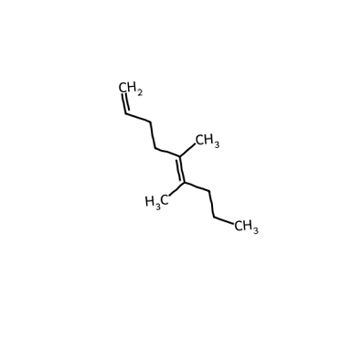 C=CCC/C(C)=C(\C)CCC